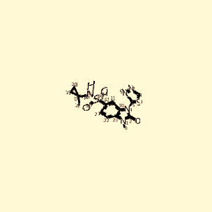 Cn1c(=O)n(-c2nncs2)c2cc(S(=O)(=O)NC3(C)CC3)ccc21